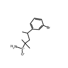 CC(CC(C)(C)[S+](N)[O-])c1cccc(Br)c1